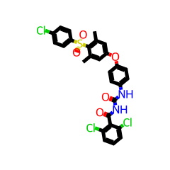 Cc1cc(Oc2ccc(NC(=O)NC(=O)c3c(Cl)cccc3Cl)cc2)cc(C)c1S(=O)(=O)c1ccc(Cl)cc1